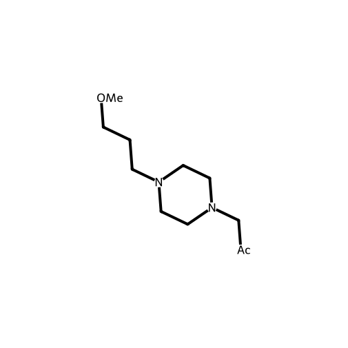 COCCCN1CCN(CC(C)=O)CC1